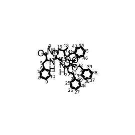 CNC(=O)C(Cc1ccccc1)NC(=O)[C@H](CC(C)C)N[C@H](CCc1ccccc1)P(=O)(OCc1ccccc1)OCc1ccccc1